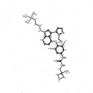 CCn1nccc1-c1cn(COCC[Si](C)(C)C)c2nccc(Oc3c(F)cc(NC(=O)NCC4(C)COC4)cc3F)c12